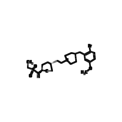 CCS(=O)(=O)N[C@H]1CC[C@H](CCN2CCC(Cc3cc(OC)ccc3Br)CC2)CC1